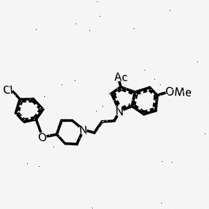 COc1ccc2c(c1)c(C(C)=O)cn2CCCN1CCC(Oc2ccc(Cl)cc2)CC1